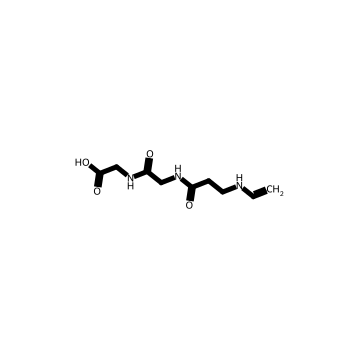 C=CNCCC(=O)NCC(=O)NCC(=O)O